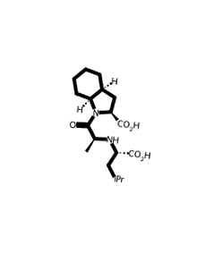 CC(C)C[C@H](N[C@@H](C)C(=O)N1[C@H](C(=O)O)C[C@@H]2CCCC[C@@H]21)C(=O)O